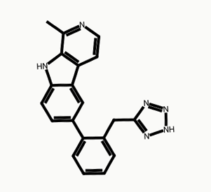 Cc1nccc2c1[nH]c1ccc(-c3ccccc3Cc3nn[nH]n3)cc12